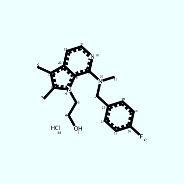 Cc1c(C)n(CCO)c2c(N(C)Cc3ccc(F)cc3)nccc12.Cl